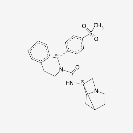 CS(=O)(=O)c1ccc([C@H]2c3ccccc3CCN2C(=O)N[C@@]23CN4CCC2CC43)cc1